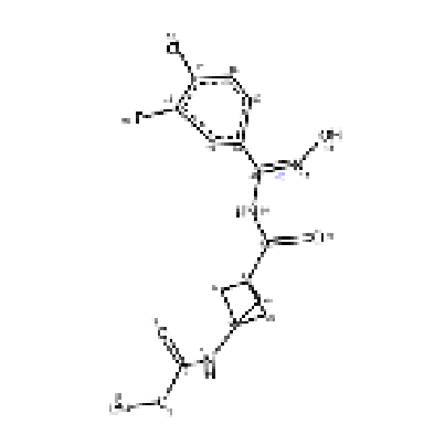 CC(C)(C)OC(=O)NC12CC(C(=O)N/C(=N/O)c3ccc(Cl)c(F)c3)(C1)C2